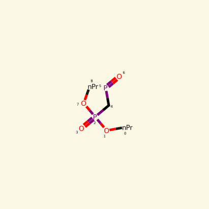 CCCOP(=O)(CP=O)OCCC